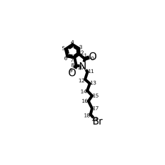 O=C1c2ccccc2C(=O)N1CCCCCCCCBr